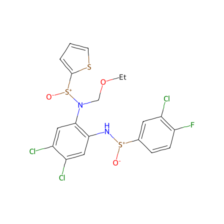 CCOCN(c1cc(Cl)c(Cl)cc1N[S+]([O-])c1ccc(F)c(Cl)c1)[S+]([O-])c1cccs1